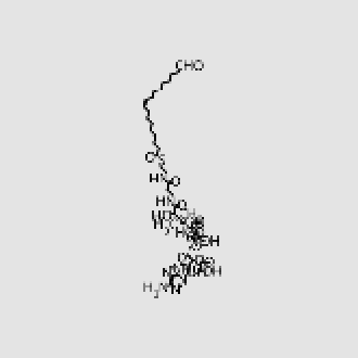 CC(C)(COP(=O)(O)OP(=O)(O)OC[C@H]1O[C@@H](n2cnc3c(N)ncnc32)[C@H](O)[C@@H]1OP(=O)(O)O)C(O)C(=O)NCCC(=O)NCCSC(=O)CCCCCCC/C=C\CCCCCCCC=O